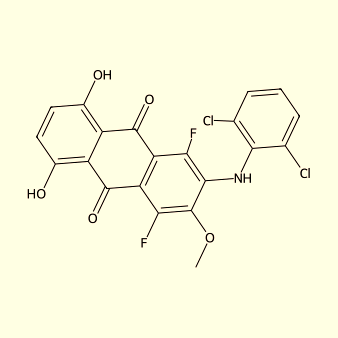 COc1c(F)c2c(c(F)c1Nc1c(Cl)cccc1Cl)C(=O)c1c(O)ccc(O)c1C2=O